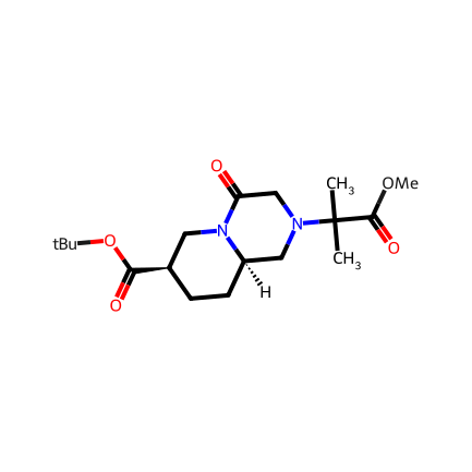 COC(=O)C(C)(C)N1CC(=O)N2C[C@H](C(=O)OC(C)(C)C)CC[C@@H]2C1